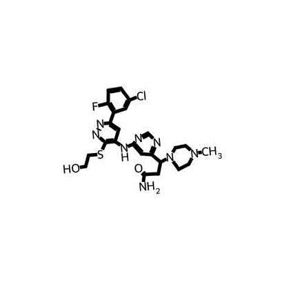 CN1CCN(C(CC(N)=O)c2cc(Nc3cc(-c4cc(Cl)ccc4F)nnc3SCCO)ncn2)CC1